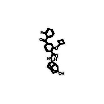 O=C(c1ccc(C(=O)N[C@H]2C3CC4CC2C[C@](O)(C4)C3)c(OC2CCC2)c1)c1ccccc1F